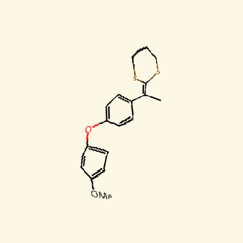 COc1ccc(Oc2ccc(C(C)=C3SCCCS3)cc2)cc1